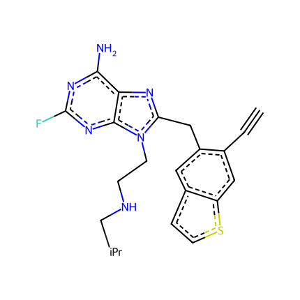 C#Cc1cc2sccc2cc1Cc1nc2c(N)nc(F)nc2n1CCNCC(C)C